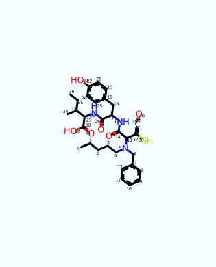 CCCCCN(Cc1ccccc1)C(C(=O)NC(Cc1ccc(O)cc1)C(=O)NC(C(=O)O)C(C)CC)C(S)=C=O